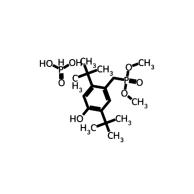 COP(=O)(Cc1cc(C(C)(C)C)c(O)cc1C(C)(C)C)OC.O=[PH](O)O